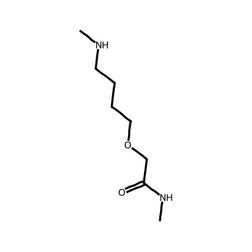 CNCCCCOCC(=O)NC